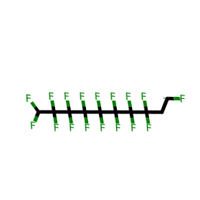 F[CH]CC(F)(F)C(F)(F)C(F)(F)C(F)(F)C(F)(F)C(F)(F)C(F)(F)[C](F)F